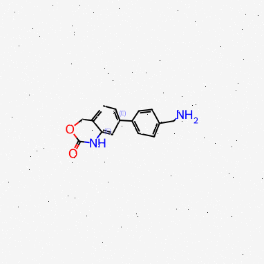 C=C1COC(=O)N/C1=C/C(=C\C)c1ccc(CN)cc1